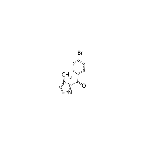 Cn1ccnc1C(=O)c1ccc(Br)cc1